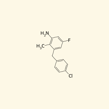 Cc1c(N)cc(F)cc1Cc1ccc(Cl)cc1